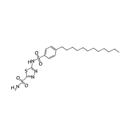 CCCCCCCCCCCCc1ccc(S(=O)(=O)Nc2nnc(S(N)(=O)=O)s2)cc1